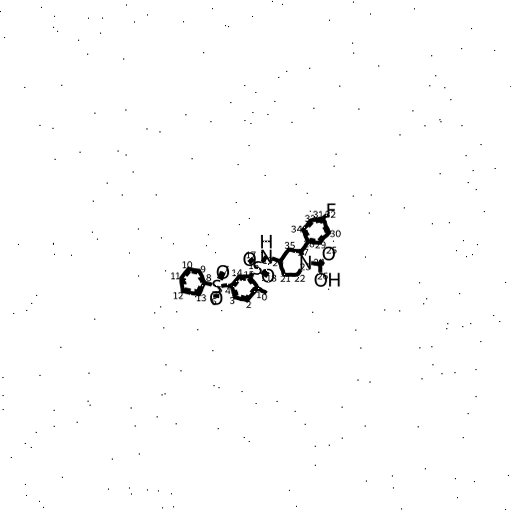 Cc1ccc(S(=O)(=O)c2ccccc2)cc1S(=O)(=O)NC1CCN(C(=O)O)C(c2ccc(F)cc2)C1